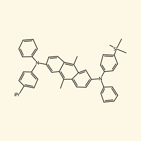 Cc1c2ccc(N(c3ccccc3)c3ccc([Si](C)(C)C)cc3)cc2c(C)c2ccc(N(c3ccccc3)c3ccc(C(C)C)cc3)cc12